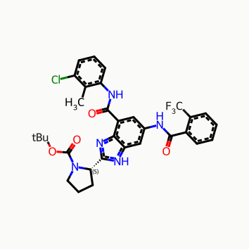 Cc1c(Cl)cccc1NC(=O)c1cc(NC(=O)c2ccccc2C(F)(F)F)cc2[nH]c([C@@H]3CCCN3C(=O)OC(C)(C)C)nc12